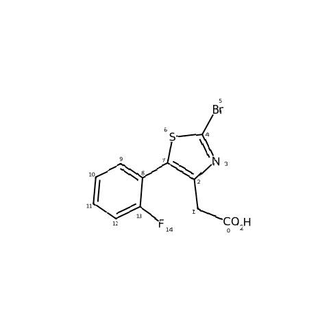 O=C(O)Cc1nc(Br)sc1-c1ccccc1F